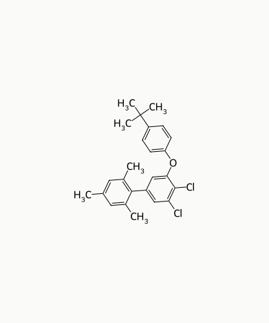 Cc1cc(C)c(-c2cc(Cl)c(Cl)c(Oc3ccc(C(C)(C)C)cc3)c2)c(C)c1